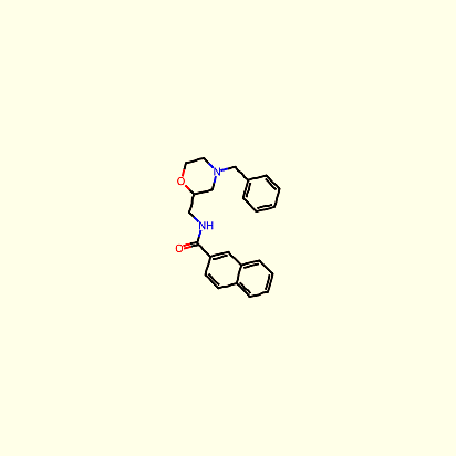 O=C(NCC1CN(Cc2ccccc2)CCO1)c1ccc2ccccc2c1